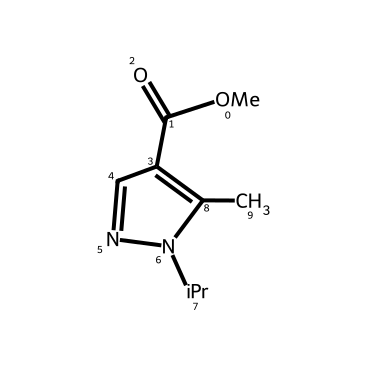 COC(=O)c1cnn(C(C)C)c1C